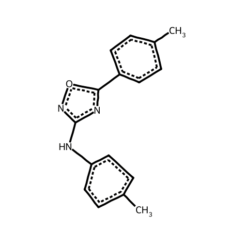 Cc1ccc(Nc2noc(-c3ccc(C)cc3)n2)cc1